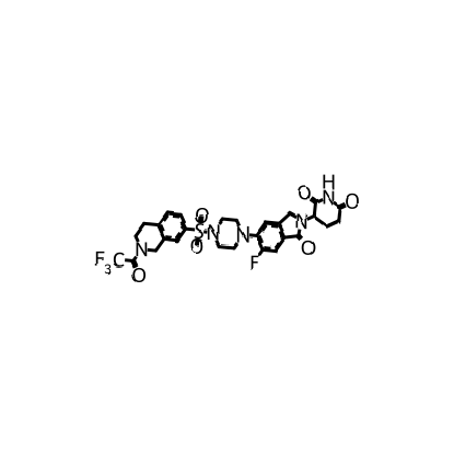 O=C1CCC(N2Cc3cc(N4CCN(S(=O)(=O)c5ccc6c(c5)CN(C(=O)C(F)(F)F)CC6)CC4)c(F)cc3C2=O)C(=O)N1